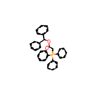 O=C(C=P(c1ccccc1)(c1ccccc1)c1ccccc1)OC(c1ccccc1)c1ccccc1